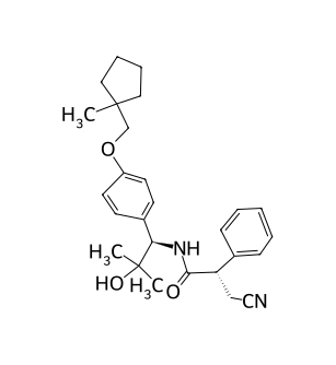 CC1(COc2ccc([C@@H](NC(=O)[C@@H](CC#N)c3ccccc3)C(C)(C)O)cc2)CCCC1